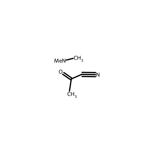 CC(=O)C#N.CNC